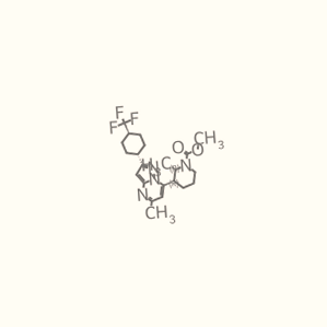 COC(=O)N1CCC[C@@H](c2cc(C)nc3cc([C@H]4CC[C@H](C(F)(F)F)CC4)nn23)[C@H]1C